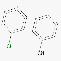 Clc1cc[c]cc1.N#Cc1ccccc1